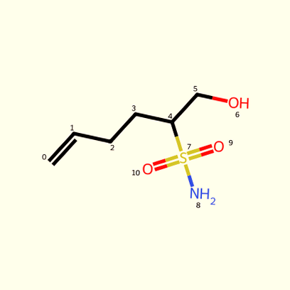 C=CCCC(CO)S(N)(=O)=O